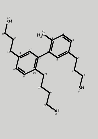 Cc1ccc(CCCS)cc1-c1cc(CCCS)ccc1CCCCS